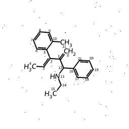 C=C(/C(=C/C)c1ccccc1C)C(NCC)c1ccccc1